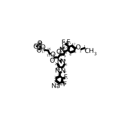 CCCOc1ccc(-c2cc(C(C(=O)OCCCOS(=O)(=O)[O-])n3cc4nc(-c5cccc(F)c5F)nc-4cn3)on2)c(C(F)(F)F)c1.[Na+]